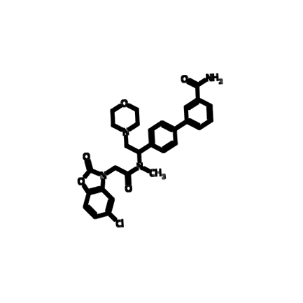 CN(C(=O)Cn1c(=O)oc2ccc(Cl)cc21)C(CN1CCOCC1)c1ccc(-c2cccc(C(N)=O)c2)cc1